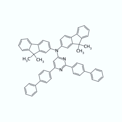 CC1(C)c2ccccc2-c2ccc(N(c3ccc4c(c3)C(C)(C)c3ccccc3-4)c3cc(-c4ccc(-c5ccccc5)cc4)nc(-c4ccc(-c5ccccc5)cc4)n3)cc21